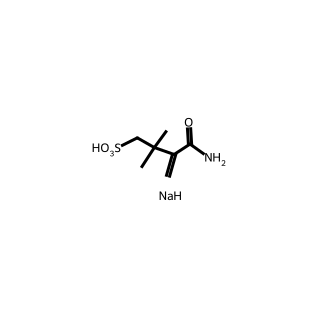 C=C(C(N)=O)C(C)(C)CS(=O)(=O)O.[NaH]